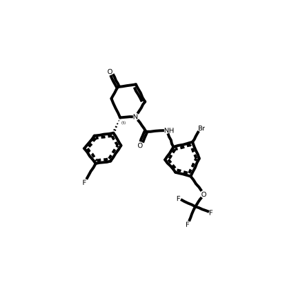 O=C1C=CN(C(=O)Nc2ccc(OC(F)(F)F)cc2Br)[C@H](c2ccc(F)cc2)C1